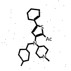 CC(=O)c1sc(C2=CCCCC2)cc1N(CC1CCC(C)CC1)C1CCN(C)CC1